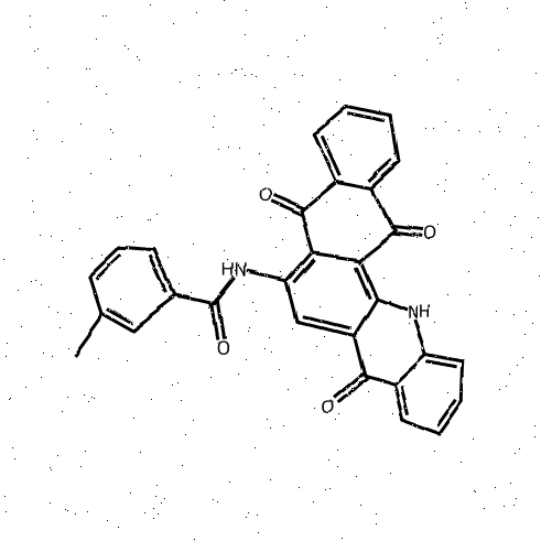 Cc1cccc(C(=O)Nc2cc3c(=O)c4ccccc4[nH]c3c3c2C(=O)c2ccccc2C3=O)c1